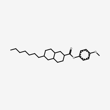 CCCCCCCC1CCC2CC(C(=O)Oc3ccc(OC)cc3)CCC2C1